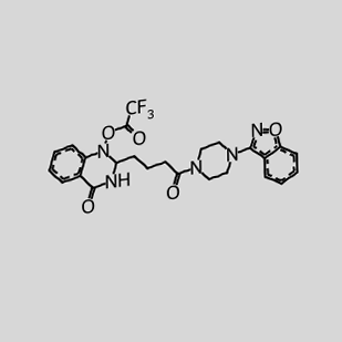 O=C1NC(CCCC(=O)N2CCN(c3noc4ccccc34)CC2)N(OC(=O)C(F)(F)F)c2ccccc21